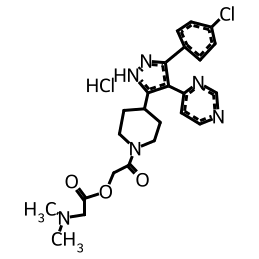 CN(C)CC(=O)OCC(=O)N1CCC(c2[nH]nc(-c3ccc(Cl)cc3)c2-c2ccncn2)CC1.Cl